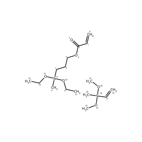 C=CC(=O)OCCC[Si](C)(OCC)OCC.C=C[Si](C)(OC)OC